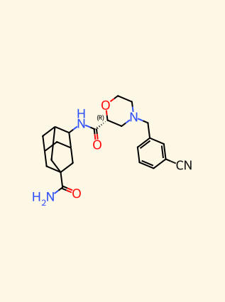 N#Cc1cccc(CN2CCO[C@@H](C(=O)NC3C4CC5CC3CC(C(N)=O)(C5)C4)C2)c1